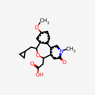 COc1ccc2c(c1)C(CC1CC1)OC(CC(=O)O)c1cc(=O)n(C)cc1-2